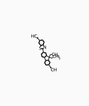 C#Cc1ccc2c(c1)C(CC)(CC)c1cc(-c3nc4ccc(C#C)cc4s3)ccc1-2